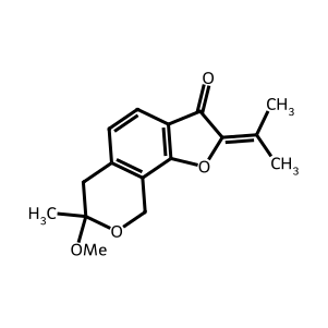 COC1(C)Cc2ccc3c(c2CO1)OC(=C(C)C)C3=O